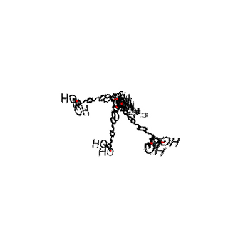 CO[Si](OC)(O[Si](OC)(O[Si](OC)(OC)c1ccc(COc2ccc(CCc3ccc(CCc4cc(CO)nc(CO)c4)cc3)cc2)cc1)c1ccc(COc2ccc(/C=C/c3ccc(/C=C/c4cc(CO)nc(CO)c4)cc3)cc2)cc1)c1ccc(COc2ccc(/C=C/c3ccc(/C=C/c4cc(CO)nc(CO)c4)cc3)cc2)cc1